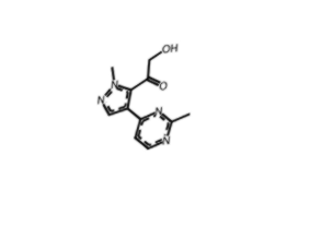 Cc1nccc(-c2cnn(C)c2C(=O)CO)n1